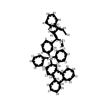 C=N/C(c1cccc([Si](c2ccccc2)(c2ccccc2)c2ccc3c4ccccc4c4ccccc4c3c2)c1)=c1/sc2ccccc2/c1=C/C